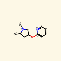 CCC1CC(Oc2ccccn2)CN1CC